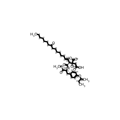 CCCCCCCC(=O)CCCCCC/C=C/[C@H](C(=O)NC(Cc1ccc(OC(C)CC)cc1)C(=O)OC)[C@@](O)(CC(=O)O)C(=O)O